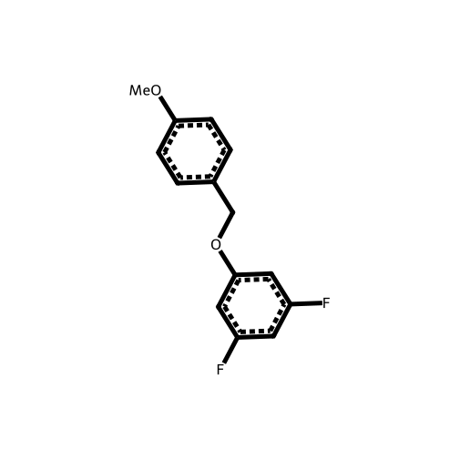 COc1ccc(COc2cc(F)cc(F)c2)cc1